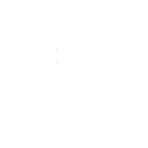 CCCN(CCC)C1CCc2cccc(C(=O)O)c2C1